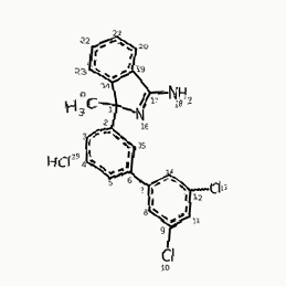 CC1(c2cccc(-c3cc(Cl)cc(Cl)c3)c2)N=C(N)c2ccccc21.Cl